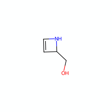 OCC1C=CN1